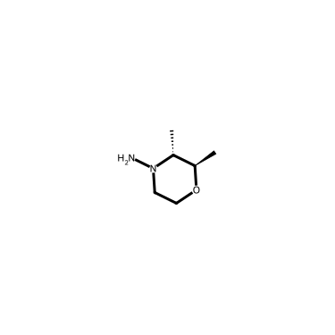 C[C@@H]1[C@@H](C)OCCN1N